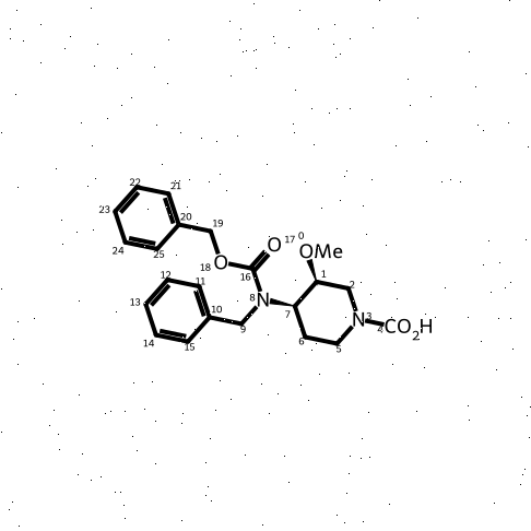 CO[C@H]1CN(C(=O)O)CC[C@H]1N(Cc1ccccc1)C(=O)OCc1ccccc1